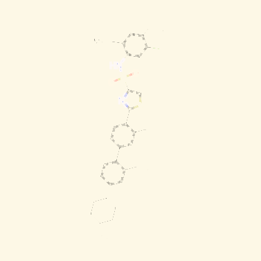 COc1cc(C(=O)O)c(F)cc1NS(=O)(=O)c1csc(-c2ccc(-c3ccc([C@H]4CC[C@@H](C(C)(C)C)CC4)cc3C(F)(F)F)cc2C(F)(F)F)n1